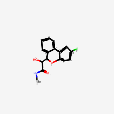 CC(C)(C)NC(=O)C(O)C1Oc2ccc(Cl)cc2-c2ccccc21